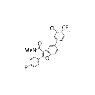 CNC(=O)c1c(-c2ccc(F)cc2)oc2ccc(-c3ccc(C(F)(F)F)c(Cl)c3)cc12